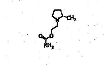 C[C@H]1CCCN1CCOC(N)=O